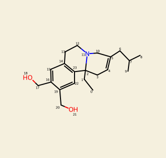 CCC12CC=C(CC(C)C)CN1CCc1cc(CO)c(CO)cc12